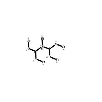 CCOC(OCC)[SiH](CC)C(OCC)OCC